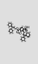 COc1c(C(=O)OCCN(C2CCCCC2)C2CCCCC2)ccc(C(=O)O)c1CCN(C1CCCCC1)C1CCCCC1